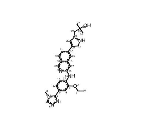 CCOc1cc(-c2nncn2C)ccc1Nc1cc2cc(C3=CN(CC(C)(C)O)NC3)ccc2cn1